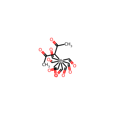 CC(=O)[CH](C(C)=O)[Rh]([CH]=O)([CH]=O)([CH]=O)([CH]=O)([CH]=O)([CH]=O)([CH]=O)[CH]=O